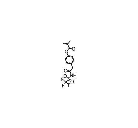 C=C(C)C(=O)Oc1ccc(CC(=O)NS(=O)(=O)C(F)(F)F)cc1